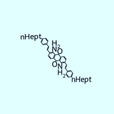 CCCCCCCc1ccc(C=Cc2ccc3c(c2N)C(=O)c2ccc(C=Cc4ccc(CCCCCCC)cc4)c(N)c2C3=O)cc1